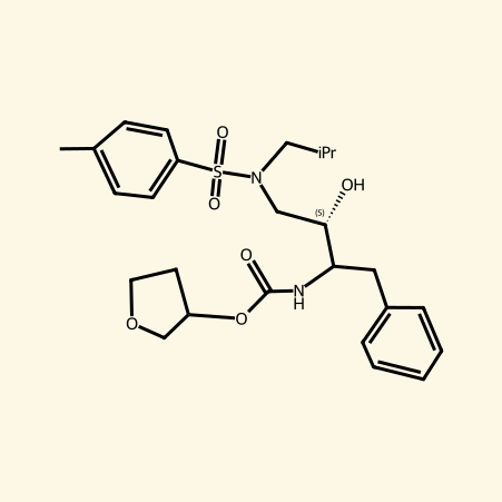 Cc1ccc(S(=O)(=O)N(CC(C)C)C[C@H](O)C(Cc2ccccc2)NC(=O)OC2CCOC2)cc1